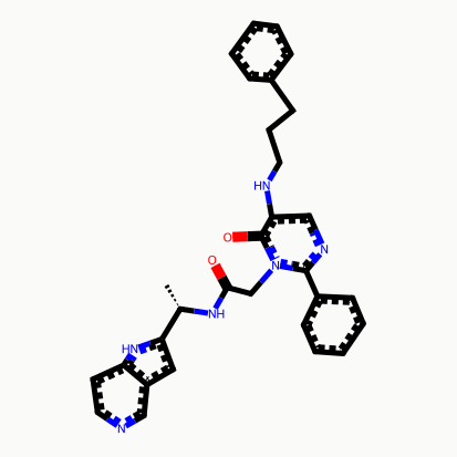 C[C@H](NC(=O)Cn1c(-c2ccccc2)ncc(NCCCc2ccccc2)c1=O)c1cc2cnccc2[nH]1